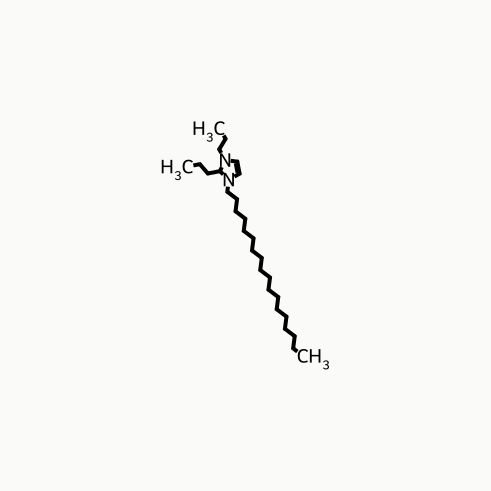 CCCCCCCCCCCCCCCCCCN1C=CN(CCC)C1CCC